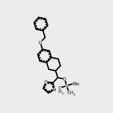 CC(C)(C)[Si](C)(C)OC(c1ncco1)C1CCc2cc(OCc3ccccc3)ccc2C1